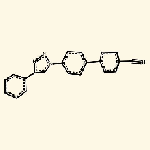 N#Cc1ccc(-c2ccc(-n3cc(-c4ccccc4)nn3)cc2)cc1